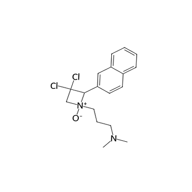 CN(C)CCC[N+]1([O-])CC(Cl)(Cl)C1c1ccc2ccccc2c1